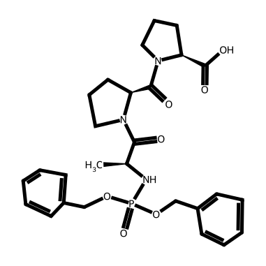 C[C@H](NP(=O)(OCc1ccccc1)OCc1ccccc1)C(=O)N1CCC[C@H]1C(=O)N1CCC[C@H]1C(=O)O